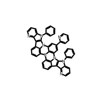 c1ccc(-n2c3cccnc3c3c4cccc5c4n(c32)-c2cc(-c3ccccn3)cc3c2B5c2cccc4c5c6ncccc6n(-c6ccccc6)c5n-3c24)cc1